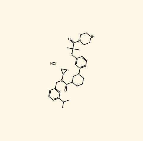 CC(C)c1cccc(CN(C(=O)C2CCCN(c3cccc(OC(C)(C)C(=O)N4CCNCC4)c3)C2)C2CC2)c1.Cl